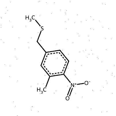 CSCc1ccc([N+](=O)[O-])c(C)c1